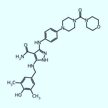 Cc1cc(CNc2[nH]nc(Nc3ccc(N4CCN(C(=O)N5CCOCC5)CC4)cc3)c2C(N)=O)cc(C)c1O